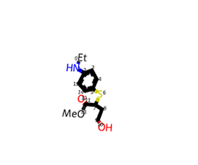 CCNc1ccc(SC(CCO)C(=O)OC)cc1